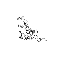 COc1ccc(CN(c2nn(C)c3c(-n4c([C@H](Cc5cc(F)cc(F)c5)NC(=O)O)nc5cc(-c6nccc(C(F)(F)F)n6)ccc5c4=O)ccc(Cl)c23)S(C)(=O)=O)cc1